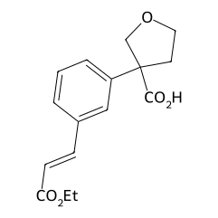 CCOC(=O)C=Cc1cccc(C2(C(=O)O)CCOC2)c1